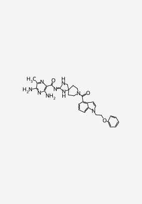 Cc1nc(C(=O)/N=C2\NCC3(CCN(C(=O)c4cccc5c4ccn5CCOc4ccccc4)CC3)N2)c(N)nc1N